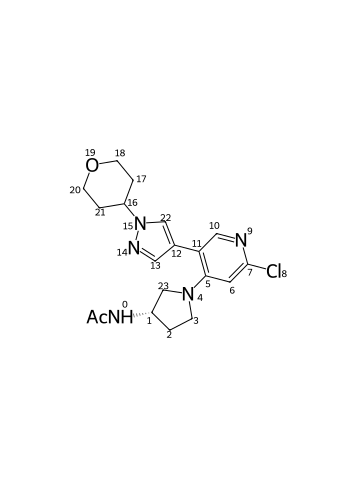 CC(=O)N[C@H]1CCN(c2cc(Cl)ncc2-c2cnn(C3CCOCC3)c2)C1